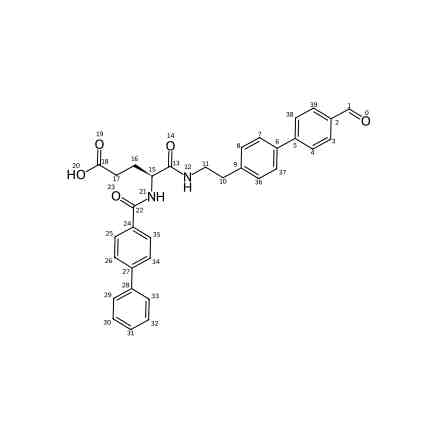 O=Cc1ccc(-c2ccc(CCNC(=O)[C@H](CCC(=O)O)NC(=O)c3ccc(-c4ccccc4)cc3)cc2)cc1